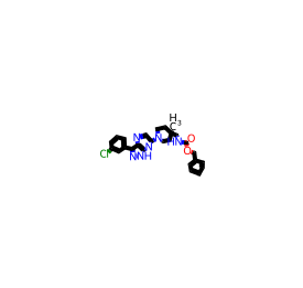 CC1(CNC(=O)OCc2ccccc2)CCN(c2cnc3c(-c4cccc(Cl)c4)n[nH]c3n2)CC1